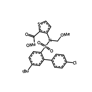 COCN(c1ccsc1C(=O)OC)S(=O)(=O)c1ccc(C(C)(C)C)cc1-c1ccc(Cl)cc1